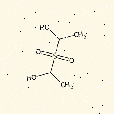 [CH2]C(O)S(=O)(=O)C([CH2])O